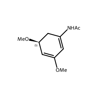 COC1=C[C@@H](OC)CC(NC(C)=O)=C1